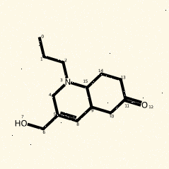 CCCN1CC(CO)=CC2CC(=O)CCC21